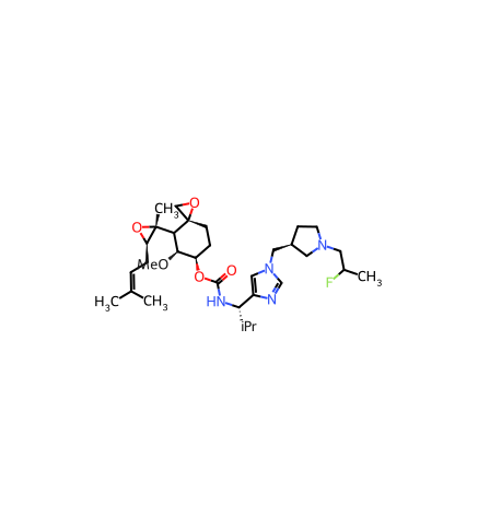 CO[C@H]1C([C@@]2(C)O[C@@H]2CC=C(C)C)[C@]2(CC[C@H]1OC(=O)N[C@H](c1cn(C[C@H]3CCN(CC(C)F)C3)cn1)C(C)C)CO2